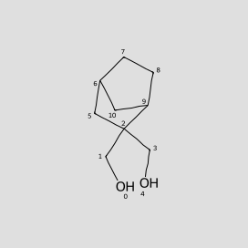 OCC1(CO)CC2CCC1C2